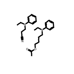 CCN(CCC#N)c1ccccc1.CCN(CCCCOC(C)=O)c1ccccc1